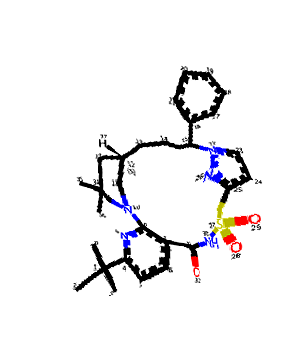 CC(C)(C)c1ccc2c(n1)N1C[C@@H](CCC(c3ccccc3)n3ccc(n3)S(=O)(=O)NC2=O)CC1(C)C